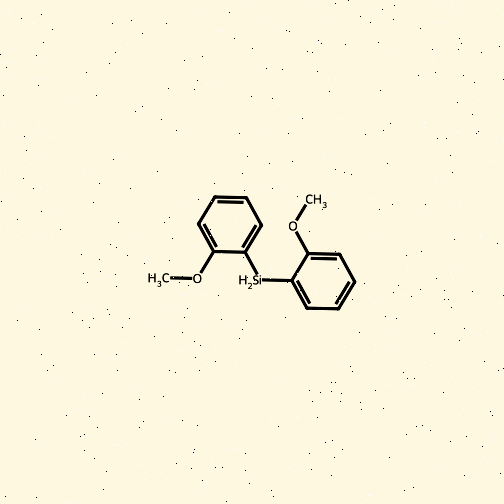 COc1ccccc1[SiH2]c1ccccc1OC